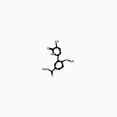 CCCOc1ccc(C(=O)NC)cc1-c1ccc(C#N)c(=O)[nH]1